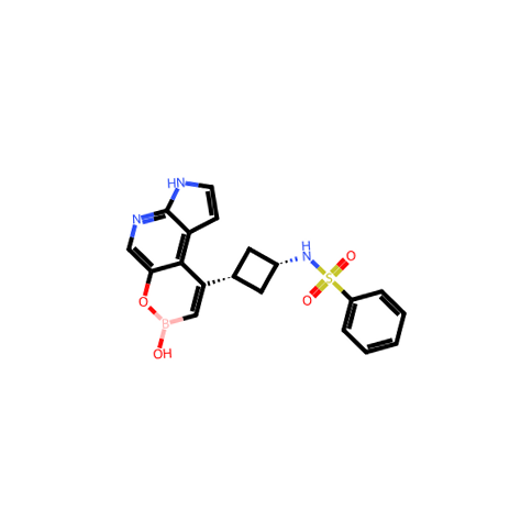 O=S(=O)(N[C@H]1C[C@@H](C2=CB(O)Oc3cnc4[nH]ccc4c32)C1)c1ccccc1